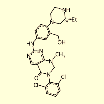 CC[C@H]1CN(c2ccc(Nc3ncc4c(n3)N(C)CN(c3c(Cl)cccc3Cl)C4=O)cc2CO)CCN1